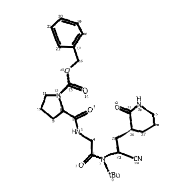 CC(C)(C)N(C(=O)CNC(=O)C1CCCN1C(=O)OCc1ccccc1)C(C#N)C[C@@H]1CCCNC1=O